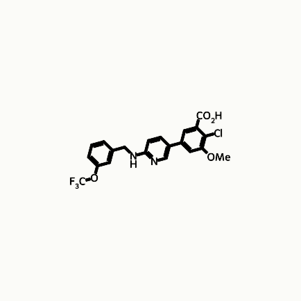 COc1cc(-c2ccc(NCc3cccc(OC(F)(F)F)c3)nc2)cc(C(=O)O)c1Cl